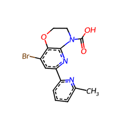 Cc1cccc(-c2cc(Br)c3c(n2)N(C(=O)O)CCO3)n1